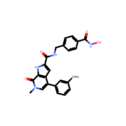 COc1cccc(-c2cn(C)c(=O)c3[nH]c(C(=O)NCc4ccc(C(=O)NO)cc4)cc23)c1